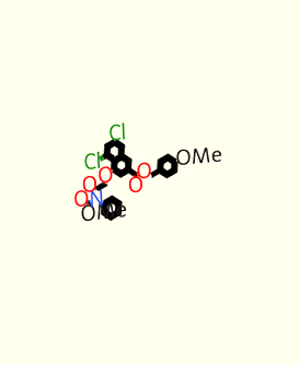 COC(=O)N(C(=O)COc1cc(C(=O)OCc2ccc(OC)cc2)cc2cc(Cl)cc(Cl)c12)c1ccccc1